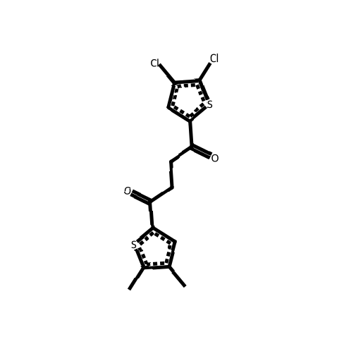 Cc1cc(C(=O)CCC(=O)c2cc(Cl)c(Cl)s2)sc1C